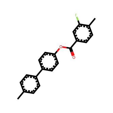 Cc1ccc(-c2ccc(OC(=O)c3ccc(C)c(F)c3)cc2)cc1